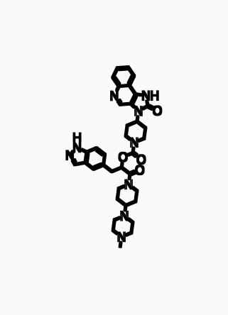 CN1CCN(C2CCN(C(=O)C(Cc3ccc4[nH]ncc4c3)OC(=O)N3CCC(n4c(=O)[nH]c5c6ccccc6ncc54)CC3)CC2)CC1